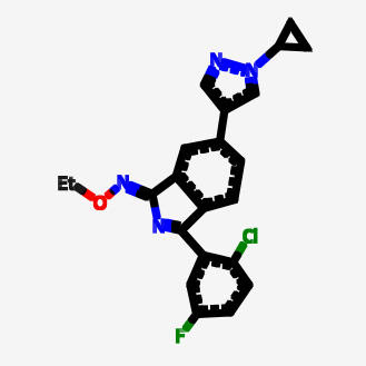 CCON=C1N=C(c2cc(F)ccc2Cl)c2ccc(-c3cnn(C4CC4)c3)cc21